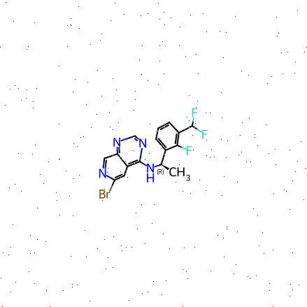 C[C@@H](Nc1ncnc2cnc(Br)cc12)c1cccc(C(F)F)c1F